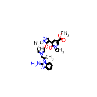 CCN(CCOc1c(-c2cc(C(=O)OC)cn(C)c2=O)cnn1C)CC(C)n1c(N)nc2ccccc21